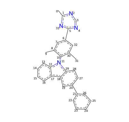 Cc1ncnc(-c2cc(C)c(-n3c4ccccc4c4cc(-c5ccccc5)ccc43)c(C)c2)n1